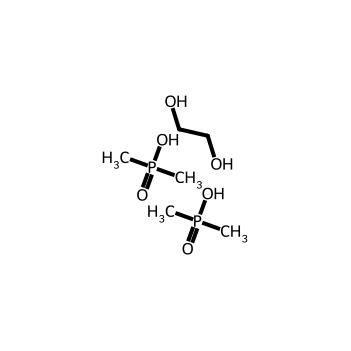 CP(C)(=O)O.CP(C)(=O)O.OCCO